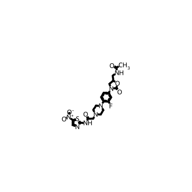 CC(=O)NCC1CN(c2ccc(N3CCN(CC(=O)Nc4ncc([N+](=O)[O-])s4)CC3)c(F)c2)C(=O)O1